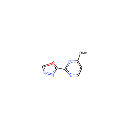 COc1ccnc(-c2nnco2)n1